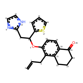 C=CCc1c(OC(Cc2ncc[nH]2)c2cccs2)ccc2c1CCCC2=O